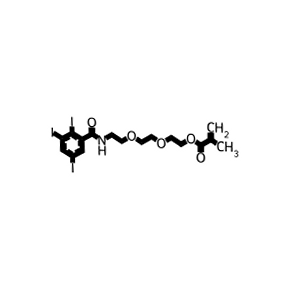 C=C(C)C(=O)OCCOCCOCCNC(=O)c1cc(I)cc(I)c1I